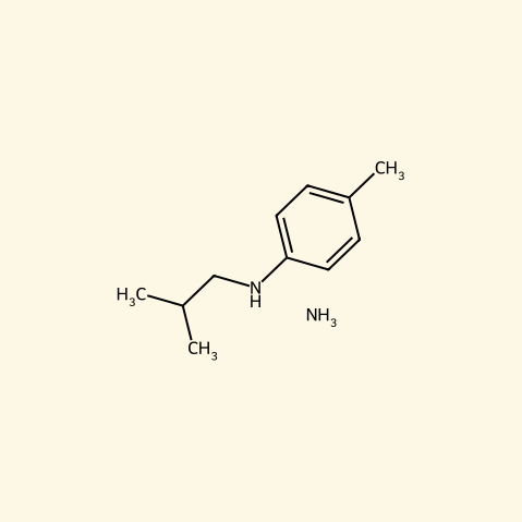 Cc1ccc(NCC(C)C)cc1.N